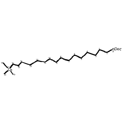 CCCCCCCCCCCCCCCCCCCCCCCCC[CH][Ge]([CH3])([CH3])[CH3]